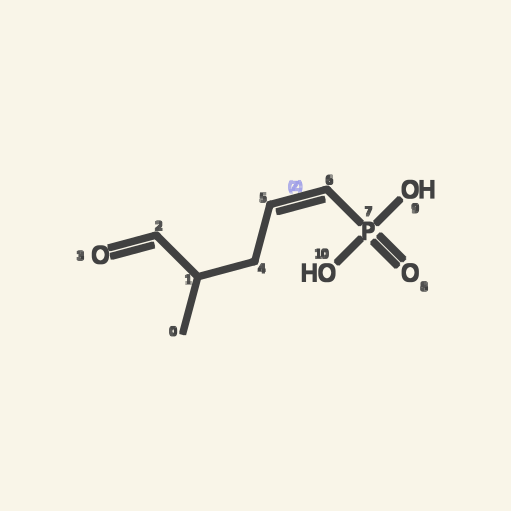 CC(C=O)C/C=C\P(=O)(O)O